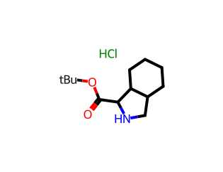 CC(C)(C)OC(=O)C1NCC2CCCCC21.Cl